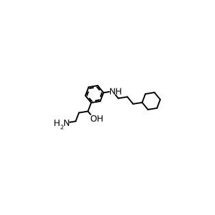 NCCC(O)c1cccc(NCCCC2CCCCC2)c1